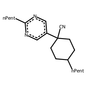 CCCCCc1ncc(C2(C#N)CCC(CCCCC)CC2)cn1